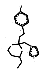 CCC1CCSC(CCc2ccc(Cl)cc2)(Cn2ccnc2)S1